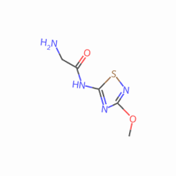 COc1nsc(NC(=O)CN)n1